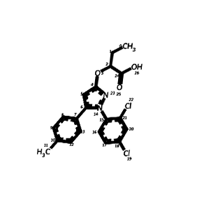 CCC(Oc1cc(-c2ccc(C)cc2)n(-c2ccc(Cl)cc2Cl)n1)C(=O)O